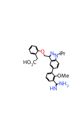 COc1c(C(=N)N)cccc1-c1ccc2c(c1)c(COc1ccccc1CC(=O)O)nn2C(C)C